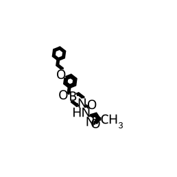 Cc1cc(NC(=O)N2CCB(C(=O)c3cccc(OCCC4CCCCC4)c3)CC2)no1